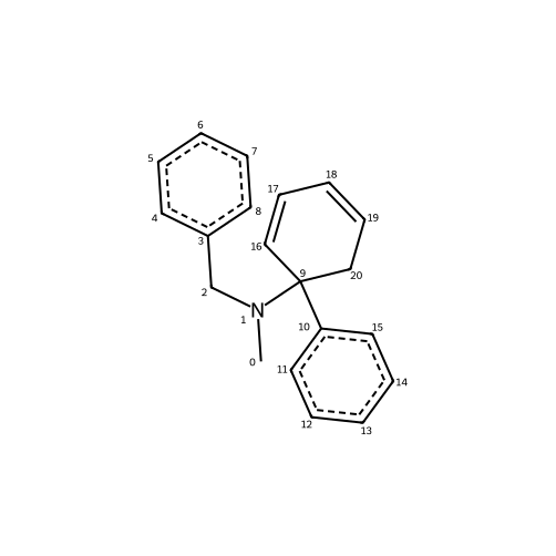 CN(Cc1ccccc1)C1(c2ccccc2)C=CC=CC1